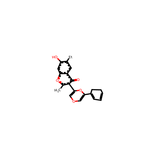 CCc1cc2c(=O)c(C3=COC=C(C4=CC=CCC4)O3)c(C)oc2cc1O